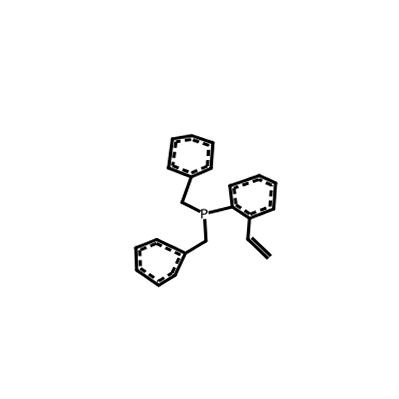 C=Cc1ccccc1P(Cc1ccccc1)Cc1ccccc1